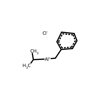 C[CH](C)[Al+][CH2]c1ccccc1.[Cl-]